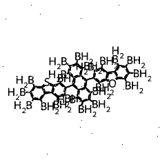 Bc1c(B)c(B)c2c(oc3c(B)c(-c4c5c(B)c(B)c(B)c(B)c5c(-c5c(B)c(B)c6c(sc7c(B)c(B)c(B)c(B)c76)c5B)c5c(B)c(B)c(B)c(B)c45)c(B)c(B)c32)c1B